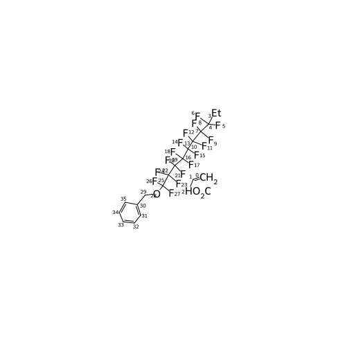 C=CC(=O)O.CCC(F)(F)C(F)(F)C(F)(F)C(F)(F)C(F)(F)C(F)(F)C(F)(F)C(F)(F)OCc1ccccc1